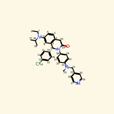 CCN(c1ccc2c(c1)[C@@H](c1ccc(Cl)cc1)N(c1ccc(N(C)Cc3ccncc3)cc1)C(=O)C2)C(C)C